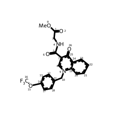 COC(=O)CNC(=O)c1cn(Cc2ccc(OC(F)(F)F)cc2)c2ccccc2c1=O